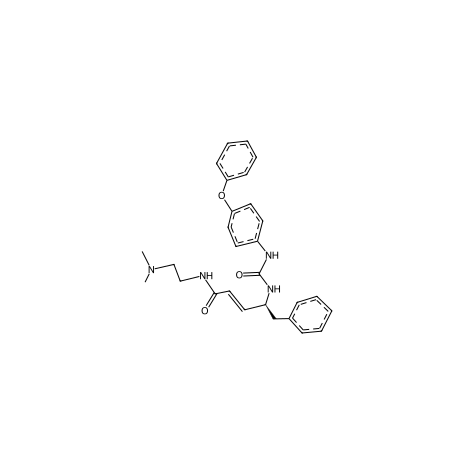 CN(C)CCNC(=O)/C=C/[C@H](Cc1ccccc1)NC(=O)Nc1ccc(Oc2ccccc2)cc1